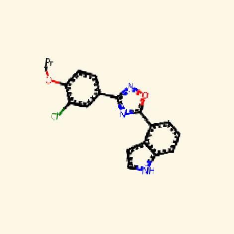 CC(C)Oc1ccc(-c2noc(-c3cccc4[nH]ccc34)n2)cc1Cl